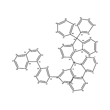 c1ccc(-c2ccccc2N(c2cccc(-c3cccc(-c4cccc5ccccc45)c3)c2)c2cccc3c2-c2ccccc2C3(c2ccccc2)c2ccccc2)cc1